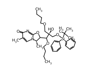 CCCCOC[C@](O)(CO[Si](c1ccccc1)(c1ccccc1)C(C)(C)C)C(OCCCC)C1Oc2nc(=O)c(C)cn2[C@@H]1C